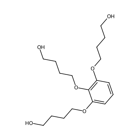 OCCCCOc1cccc(OCCCCO)c1OCCCCO